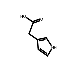 O=C(O)Cc1cc[nH]c1